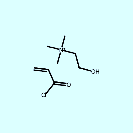 C=CC(=O)Cl.C[N+](C)(C)CCO